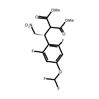 COC(=O)C(C(=O)OC)[C@@H](C[N+](=O)[O-])c1c(F)cc(OC(F)F)cc1F